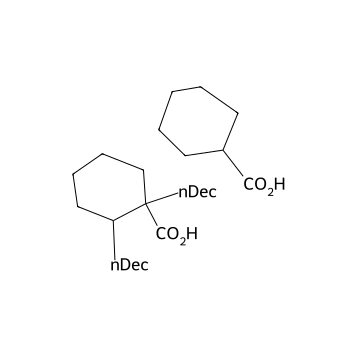 CCCCCCCCCCC1CCCCC1(CCCCCCCCCC)C(=O)O.O=C(O)C1CCCCC1